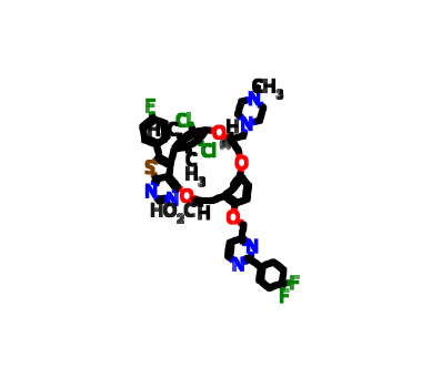 Cc1c(Cl)c2c(Cl)c(C)c1-c1c(-c3ccc(F)cc3)sc3ncnc(c13)O[C@@H](C(=O)O)Cc1cc(ccc1OCc1ccnc(C3=CCC(F)(F)CC3)n1)OC[C@@H](CN1CCN(C)CC1)O2